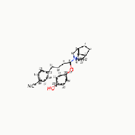 CNC1C2CCC1CN(C(CCCc1ccc(C#N)cc1)Oc1ccc(O)cc1)C2